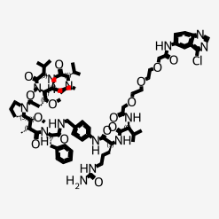 CC[C@H](C)[C@@H]([C@@H](CC(=O)N1CCC[C@H]1[C@H](OC)[C@@H](C)C(=O)N[C@@H](Cc1ccccc1)C(=O)NCc1ccc(NC(=O)[C@H](CCCNC(N)=O)NC(=O)[C@@H](NC(=O)COCCOCCOCC(=O)Nc2ccc3ncnc(Cl)c3c2)C(C)C)cc1)OC)N(C)C(=O)[C@@H](NC(=O)[C@H](C(C)C)N(C)C)C(C)C